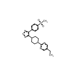 CCc1cnc(N2CCC(c3nsnc3-c3ccc(S(C)(=O)=O)cc3)CC2)nc1